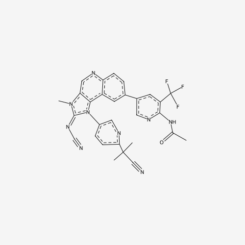 CC(=O)Nc1ncc(-c2ccc3ncc4c(c3c2)n(-c2ccc(C(C)(C)C#N)nc2)/c(=N\C#N)n4C)cc1C(F)(F)F